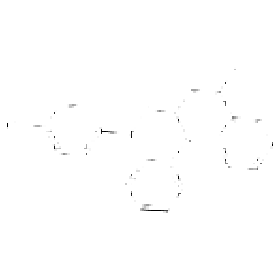 CC1=CC2OC(c3ccc(Cl)cc3)c3ccccc3N2c2ccccc21